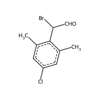 Cc1cc(Cl)cc(C)c1C(Br)C=O